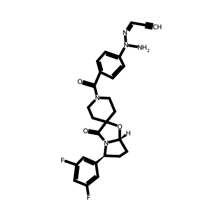 C#C/C=N\N(N)c1ccc(C(=O)N2CCC3(CC2)O[C@@H]2CC[C@@H](c4cc(F)cc(F)c4)N2C3=O)cc1